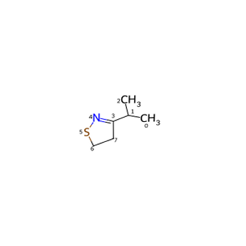 CC(C)C1=NSCC1